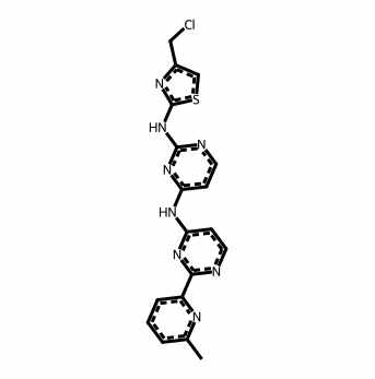 Cc1cccc(-c2nccc(Nc3ccnc(Nc4nc(CCl)cs4)n3)n2)n1